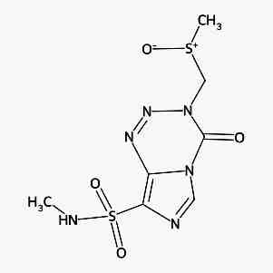 CNS(=O)(=O)c1ncn2c(=O)n(C[S+](C)[O-])nnc12